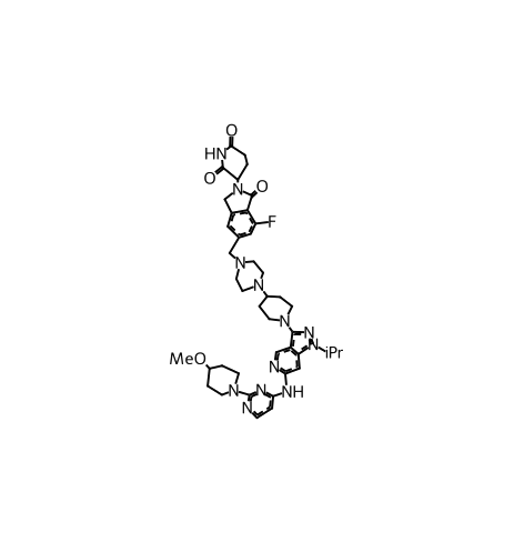 COC1CCN(c2nccc(Nc3cc4c(cn3)c(N3CCC(N5CCN(Cc6cc(F)c7c(c6)CN(C6CCC(=O)NC6=O)C7=O)CC5)CC3)nn4C(C)C)n2)CC1